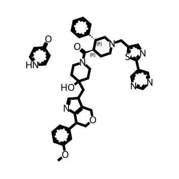 COc1cccc(C2COCC3=C2N=CC3CC2(O)CCN(C(=O)[C@@H]3CCN(Cc4cnc(-c5cncnc5)s4)C[C@H]3c3ccccc3)CC2)c1.O=c1cc[nH]cc1